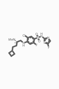 CN[C@@H](CCC1CCC1)CNc1cc(F)c(S(=O)(=O)Nc2ncc(F)s2)cc1Cl